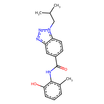 Cc1cccc(O)c1NC(=O)c1ccc2c(c1)nnn2CC(C)C